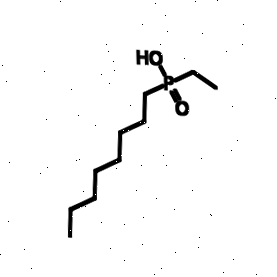 CCCCCCCCP(=O)(O)CC